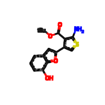 CC(C)(C)OC(=O)c1c(-c2cc3cccc(O)c3o2)csc1N